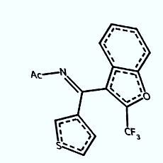 CC(=O)N=C(c1ccsc1)c1c(C(F)(F)F)oc2ccccc12